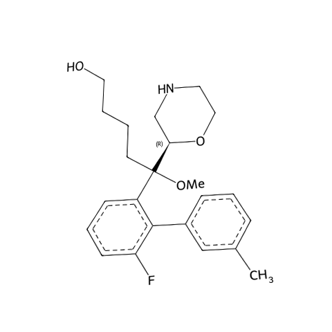 COC(CCCCO)(c1cccc(F)c1-c1cccc(C)c1)[C@H]1CNCCO1